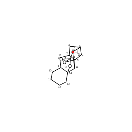 CC12OC34CC5CC3CC3(CCCCC3(O1)C4C5)O2